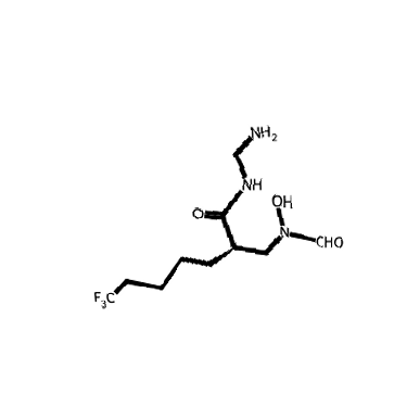 NCNC(=O)[C@H](CCCCC(F)(F)F)CN(O)C=O